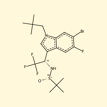 CC(C)(C)Cn1cc([C@H](N[S@@+]([O-])C(C)(C)C)C(F)(F)F)c2cc(F)c(Br)cc21